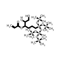 C=CC(=O)OC(CCC[Si](O[Si](C)(C)C)(O[Si](C)(C)C)O[Si](C)(O[Si](C)(C)C)O[Si](C)(C)C)C(O)CO